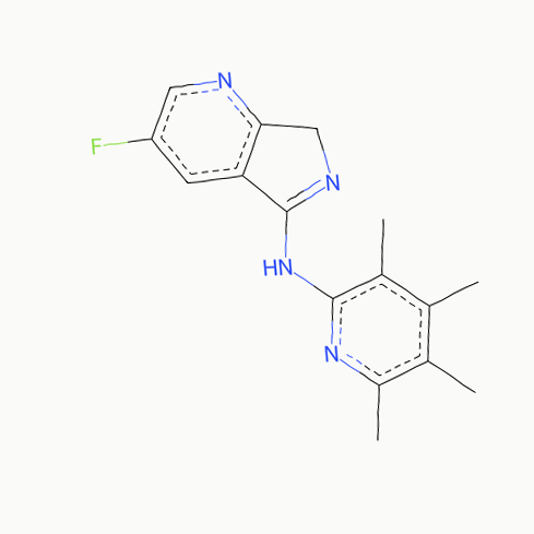 Cc1nc(NC2=NCc3ncc(F)cc32)c(C)c(C)c1C